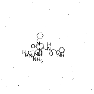 CCC(NC(=N)N)[C@@H]1N[C@H](CNC(=O)Cc2c[nH]c3ccccc23)CCN(CC2CCCCC2)C1=O